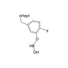 CCCCCCCCc1ccc(F)c(OBO)c1